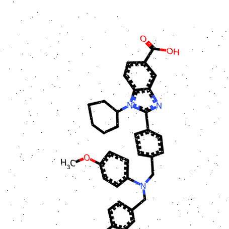 COc1ccc(N(Cc2ccc(Cl)cc2)Cc2ccc(-c3nc4cc(C(=O)O)ccc4n3C3CCCCC3)cc2)cc1